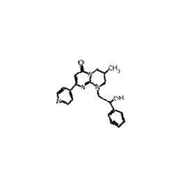 CC1CN(CC(O)c2ccccc2)c2nc(-c3ccncc3)cc(=O)n2C1